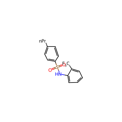 CCCc1ccc(S(=O)(=O)Nc2ccccc2C(F)(F)F)cc1